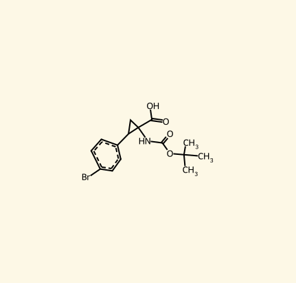 CC(C)(C)OC(=O)NC1(C(=O)O)CC1c1ccc(Br)cc1